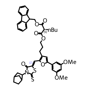 CCCC[C@@H](C(=O)OCCCc1cc(-c2cc(OC)cc(OC)c2)oc1/C=C1\SC(=S)N(C2CC3CCC2C3)C1=O)C(=O)OCC1c2ccccc2-c2ccccc21